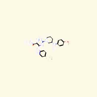 CCOc1ccc(N[C@@H]2CCCN(c3nnc(C(N)=O)c(Nc4ccc(C#N)cc4)n3)C2)cc1